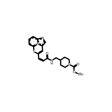 CC(C)(C)OC(=O)N1CCC(CNC(=O)/C=C\C2=Cc3cnc4cccc(n34)S2)CC1